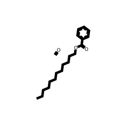 C=O.CCCCCCCCCCCCOC(=O)c1ccccc1